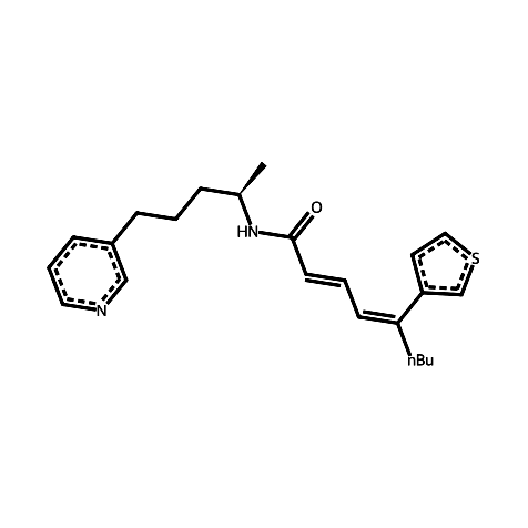 CCCC/C(=C/C=C/C(=O)N[C@H](C)CCCc1cccnc1)c1ccsc1